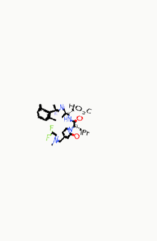 C=C(/C=N\C=C(/C)c1c(C)cccc1C)[C@H](CC(=O)O)NC(=O)[C@H](CC(C)C)n1ccc(CN(C)CC(F)F)cc1=O